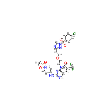 CS(=O)(=O)N1CCC(Nc2ncc3cc(C(F)F)c(=O)n(CCOCCc4ncn(S(=O)(=O)c5ccc(Cl)cc5)n4)c3n2)CC1